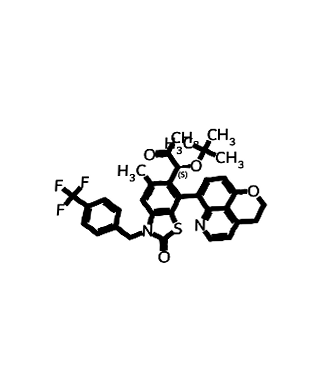 CC(=O)[C@@H](OC(C)(C)C)c1c(C)cc2c(sc(=O)n2Cc2ccc(C(F)(F)F)cc2)c1-c1ccc2c3c(ccnc13)CCO2